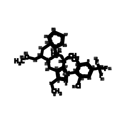 CCc1nn(-c2c(Cl)cc(C(F)(F)F)cc2Cl)c(N(C)C)c1CN1Cc2ccccc2CC1COC